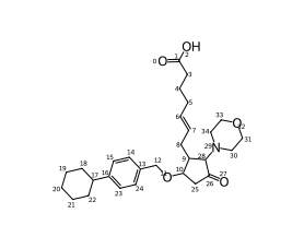 O=C(O)CCC/C=C/CC1C(OCc2ccc(C3CCCCC3)cc2)CC(=O)C1N1CCOCC1